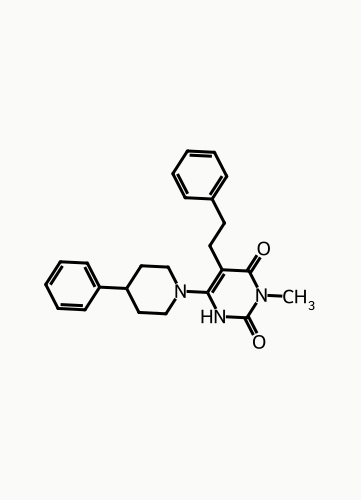 Cn1c(=O)[nH]c(N2CCC(c3ccccc3)CC2)c(CCc2ccccc2)c1=O